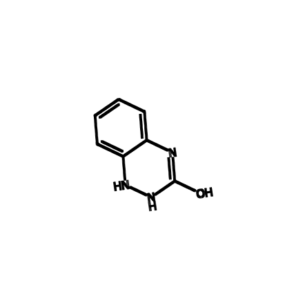 OC1=Nc2ccccc2NN1